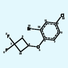 FC1(F)CC(Oc2ccc(Cl)cc2Br)C1